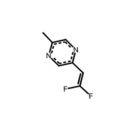 Cc1cnc(C=C(F)F)cn1